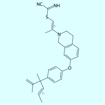 C=C(C)C(C)(/C=C/C)c1ccc(Oc2ccc3c(c2)CN(/C(C)=C/SC(=N)C#N)CC3)cc1